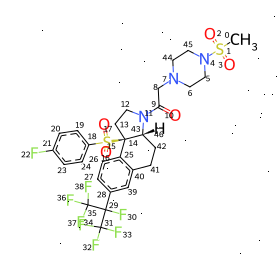 CS(=O)(=O)N1CCN(CC(=O)N2CC[C@@]3(S(=O)(=O)c4ccc(F)cc4)c4ccc(C(F)(C(F)(F)F)C(F)(F)F)cc4CC[C@@H]23)CC1